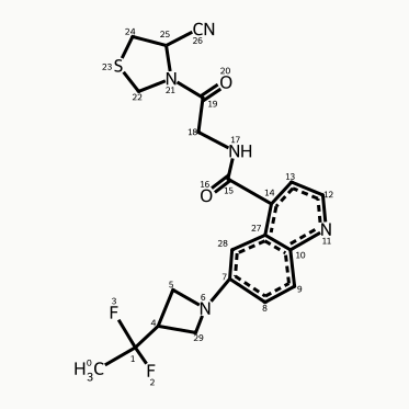 CC(F)(F)C1CN(c2ccc3nccc(C(=O)NCC(=O)N4CSCC4C#N)c3c2)C1